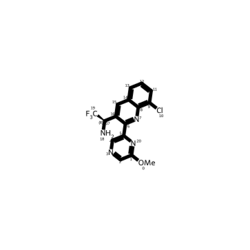 COc1cncc(-c2nc3c(Cl)cccc3cc2[C@@H](N)C(F)(F)F)n1